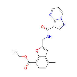 Cc1ccc(C(=O)OCC(F)(F)F)c2oc(CNC(=O)c3cnn4cccnc34)cc12